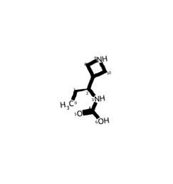 CC[C@H](NC(=O)O)C1CNC1